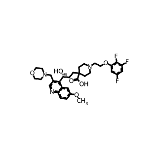 COc1ccc2ncc(CN3CCOCC3)c([C@H](O)CCC3(C(=O)O)CCN(CCOc4cc(F)cc(F)c4F)CC3)c2c1